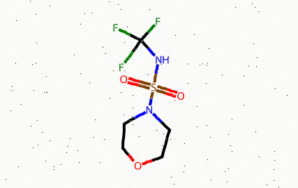 O=S(=O)(NC(F)(F)F)N1CCOCC1